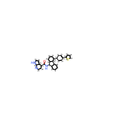 O=C(NC1c2ccccc2-c2c(C3C=CC(c4cccs4)=CC3)cccc21)c1ccnc2[nH]ccc12